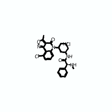 CN[C@H](C(=O)NC1CCCC(n2c(=O)c3c(C)onc3c3c(Cl)cccc32)C1)c1ccccc1.Cl